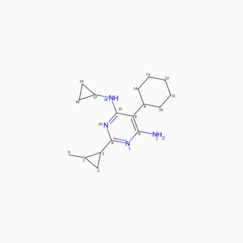 CC1CC1c1nc(N)c(C2CCCCC2)c(NC2CC2)n1